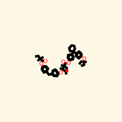 CCC(C)(CC)Oc1ccc(C2(c3ccc(OC(=O)C(C)(CC)C(C)(CC)Oc4ccc(Cc5ccc(OC(=O)C(C)(C)CC)cc5)cc4)cc3)CCCCC2)cc1